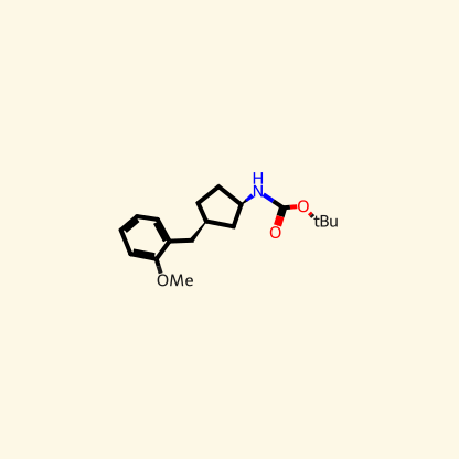 COc1ccccc1C[C@H]1CC[C@@H](NC(=O)OC(C)(C)C)C1